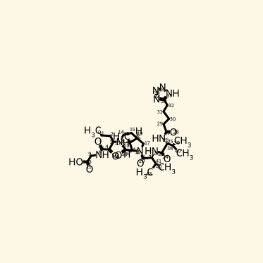 CCCC(C(=O)C(=O)NCC(=O)O)N1CC[C@H]2CN(C(=O)[C@@H](NC(=O)[C@H](NC(=O)CCCCc3nnn[nH]3)C(C)C)C(C)C)[C@H](C1=O)[C@H]2C